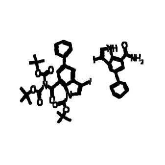 CC(C)(C)OC(=O)N(C(=O)OC(C)(C)C)C(=O)c1cc(-c2ccccc2)cc2c(I)cn(C(=O)OC(C)(C)C)c12.NC(=O)c1cc(-c2ccccc2)cc2c(I)c[nH]c12